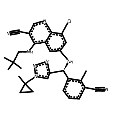 Cc1c(C#N)cccc1[C@H](Nc1cc(Cl)c2ncc(C#N)c(NCC(C)(C)C)c2c1)c1cn(C2(C)CC2)nn1